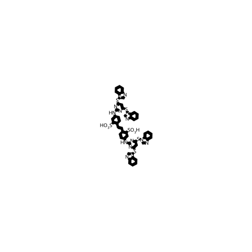 O=S(=O)(O)c1cc(Nc2nc(Sn3cnc4ccccc43)cc(Sn3cnc4ccccc43)n2)ccc1C=Cc1ccc(Nc2nc(Sn3cnc4ccccc43)cc(Sn3cnc4ccccc43)n2)cc1S(=O)(=O)O